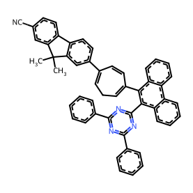 CC1(C)c2cc(C#N)ccc2-c2ccc(C3=CCC=C(c4c(-c5nc(-c6ccccc6)nc(-c6ccccc6)n5)c5ccccc5c5ccccc45)C=C3)cc21